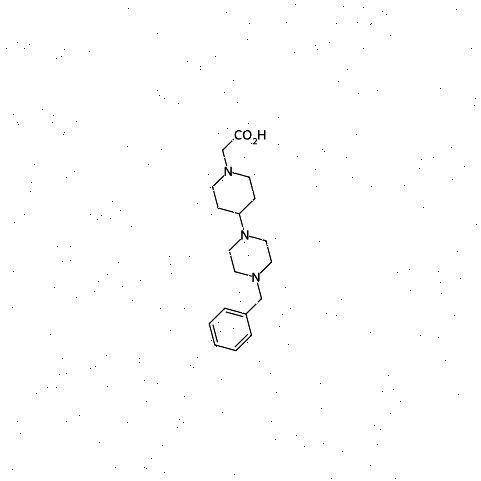 O=C(O)CN1CCC(N2CCN(Cc3ccccc3)CC2)CC1